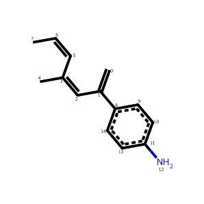 C=C(/C=C(C)\C=C/C)c1ccc(N)cc1